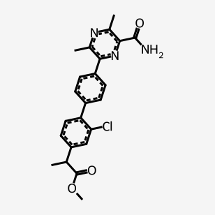 COC(=O)C(C)c1ccc(-c2ccc(-c3nc(C(N)=O)c(C)nc3C)cc2)c(Cl)c1